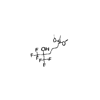 CO[Si](C)(CCCC(O)(C(F)(F)F)C(F)(F)F)OC